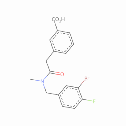 CN(Cc1ccc(F)c(Br)c1)C(=O)Cc1cccc(C(=O)O)c1